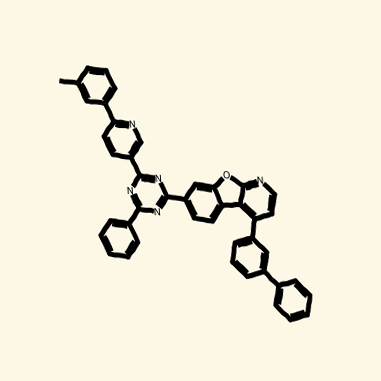 Cc1cccc(-c2ccc(-c3nc(-c4ccccc4)nc(-c4ccc5c(c4)oc4nccc(-c6cccc(-c7ccccc7)c6)c45)n3)cn2)c1